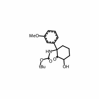 COc1cccc(C2(NC(=O)OC(C)(C)C)CCCC(O)C2=O)c1